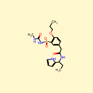 CCCOc1ccc(CC(=O)NC(CC)c2ccc[nH]2)cc1S(=O)(=O)NC(=O)NC